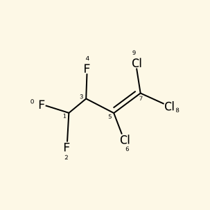 FC(F)C(F)C(Cl)=C(Cl)Cl